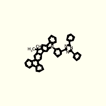 CC1(C)c2cc3c4ccccc4c4ccccc4c3cc2-c2cc3c(cc21)c1ccccc1n3-c1cccc(-c2nc(-c3ccccc3)nc(-c3ccccc3)n2)c1